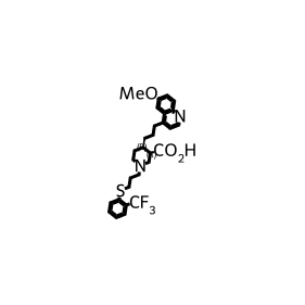 COc1ccc2nccc(CCC[C@@H]3CCN(CCCSc4ccccc4C(F)(F)F)C[C@@H]3C(=O)O)c2c1